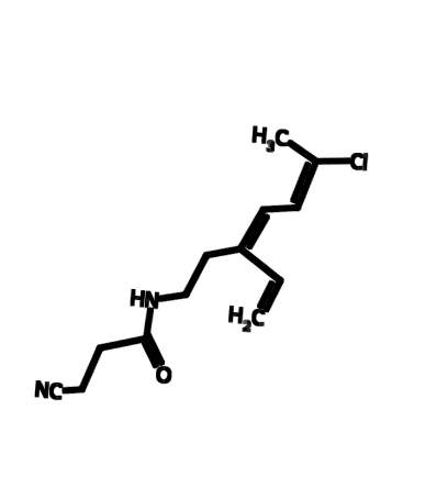 C=C/C(=C\C=C(/C)Cl)CCNC(=O)CCC#N